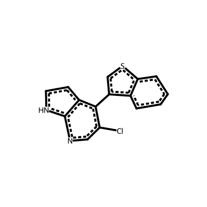 Clc1cnc2[nH]ccc2c1-c1csc2ccccc12